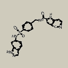 O=C(NCc1ccc(S(=O)(=O)Nc2ccc3cn[nH]c3c2)cc1)c1cc2cnccc2[nH]1